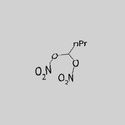 CCCC(O[N+](=O)[O-])O[N+](=O)[O-]